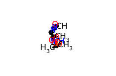 C#CC(=O)N1CCN(c2cccc(-c3cc(OC)c4c(NS(=O)(=O)c5cc(CC)ccc5OC)noc4c3)c2)CC1